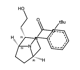 CC(C)(C)OC(=O)N1C[C@H]2CC[C@@H]([C@@H]1CCO)N2Cc1ccccc1